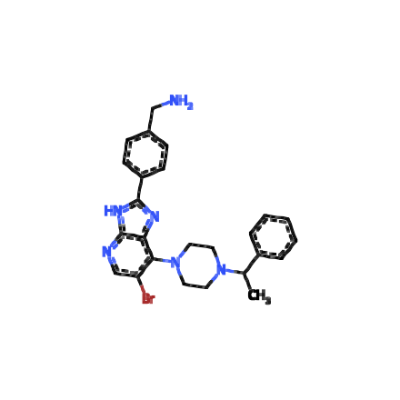 CC(c1ccccc1)N1CCN(c2c(Br)cnc3[nH]c(-c4ccc(CN)cc4)nc23)CC1